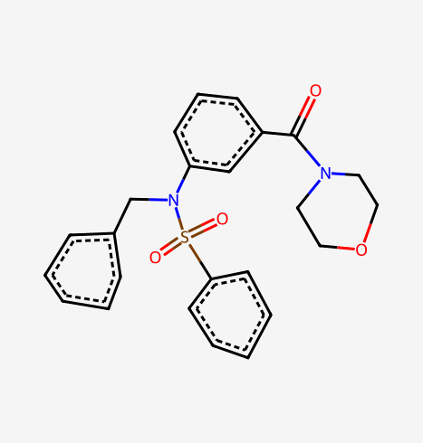 O=C(c1cccc(N(Cc2ccccc2)S(=O)(=O)c2ccccc2)c1)N1CCOCC1